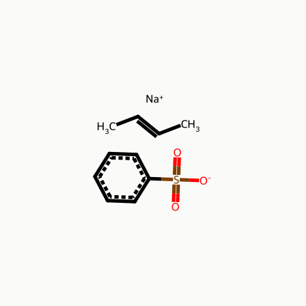 CC=CC.O=S(=O)([O-])c1ccccc1.[Na+]